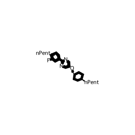 CCCCCc1ccc(-c2ncc(OC[C@H]3CC[C@H](CCCCC)CC3)cn2)cc1F